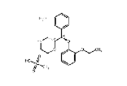 CCOc1ccccc1O[C@H](c1ccccc1)[C@H]1CNCCO1.CS(=O)(=O)O.O